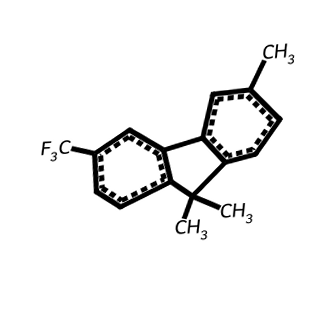 Cc1ccc2c(c1)-c1cc(C(F)(F)F)ccc1C2(C)C